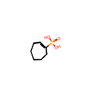 O=P(O)(O)C1=CCCCCC1